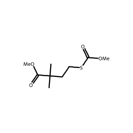 COC(=O)SCCC(C)(C)C(=O)OC